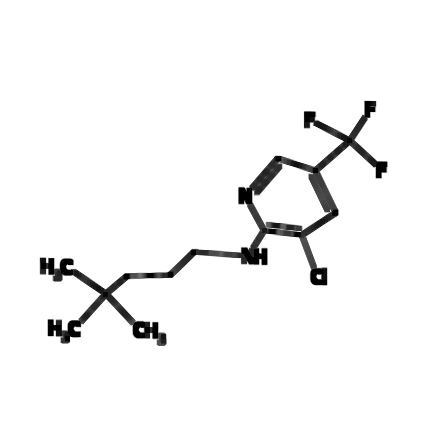 CC(C)(C)CCCNc1ncc(C(F)(F)F)cc1Cl